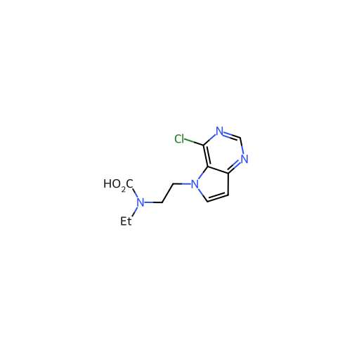 CCN(CCn1ccc2ncnc(Cl)c21)C(=O)O